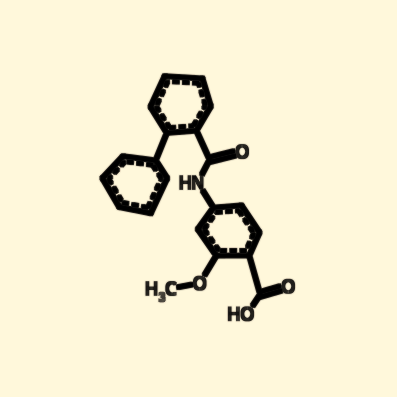 COc1cc(NC(=O)c2ccccc2-c2ccccc2)ccc1C(=O)O